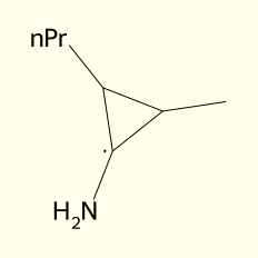 CCCC1[C](N)C1C